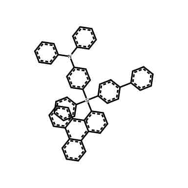 c1ccc(-c2ccc([Si](c3ccccc3)(c3ccc(N(c4ccccc4)c4ccccc4)cc3)c3cccc4c5ccccc5c5ccccc5c34)cc2)cc1